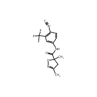 [C-]#[N+]c1ccc(NC(=O)C2(C)CC(C)=NO2)cc1C(F)(F)F